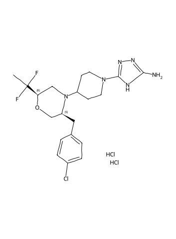 CC(F)(F)[C@H]1CN(C2CCN(c3nnc(N)[nH]3)CC2)[C@@H](Cc2ccc(Cl)cc2)CO1.Cl.Cl